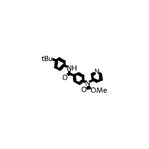 COC(=O)N(c1ccc(C(=O)Nc2ccc(C(C)(C)C)cc2)cc1)c1cccnc1